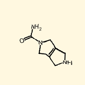 NC(=O)N1CC2=C(CNC2)C1